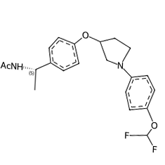 CC(=O)N[C@@H](C)c1ccc(OC2CCN(c3ccc(OC(F)F)cc3)C2)cc1